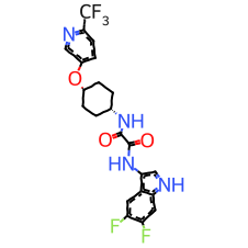 O=C(Nc1c[nH]c2cc(F)c(F)cc12)C(=O)N[C@H]1CC[C@@H](Oc2ccc(C(F)(F)F)nc2)CC1